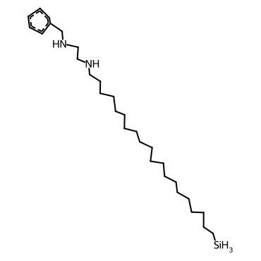 [SiH3]CCCCCCCCCCCCCCCCCCCCNCCNCc1ccccc1